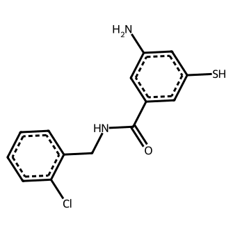 Nc1cc(S)cc(C(=O)NCc2ccccc2Cl)c1